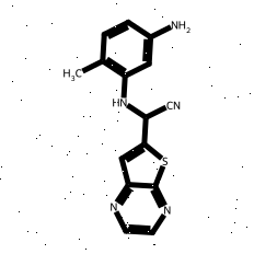 Cc1ccc(N)cc1NC(C#N)c1cc2nccnc2s1